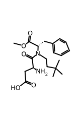 COC(=O)[C@H](Cc1ccccc1)N(CCC(C)(C)C)C(=O)[C@@H](N)CC(=O)O